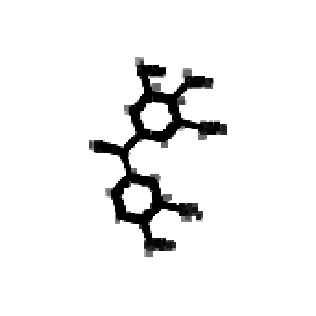 COc1ccc(C(=O)c2cc(OC)c(OC)c(OC)c2)cc1N